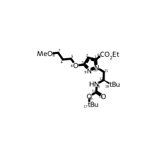 CCOC(=O)c1cc(OCCCOC)nn1C[C@H](NC(=O)OC(C)(C)C)C(C)(C)C